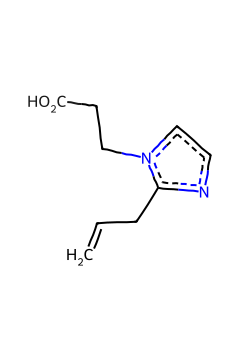 C=CCc1nccn1CCC(=O)O